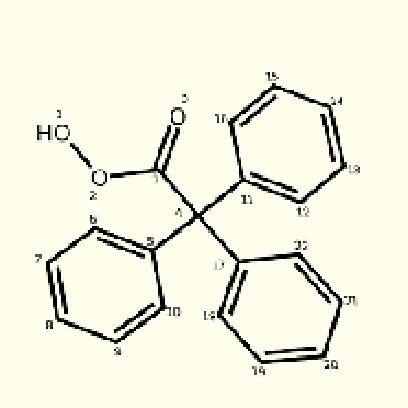 O=C(OO)C(c1ccccc1)(c1ccccc1)c1ccccc1